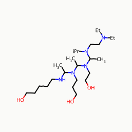 CCN(CC)CCN(C(C)C)C(C)N(CCO)C(C)N(CCCO)C(C)NCCCCCO